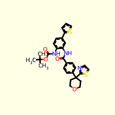 CC(C)(C)OC(=O)Nc1ccc(-c2cccs2)cc1NC(=O)c1ccc(C2(c3nccs3)CCOCC2)cc1